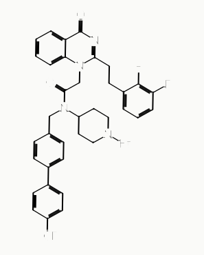 CCN1CCC(N(Cc2ccc(-c3ccc(C(F)(F)F)cc3)cc2)C(=O)Cn2c(CCc3cccc(F)c3F)nc(=O)c3ccccc32)CC1